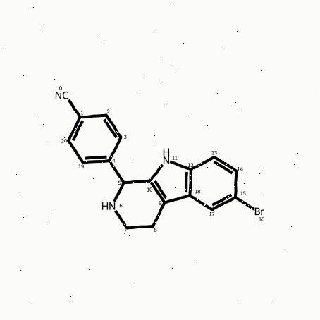 N#Cc1ccc(C2NCCc3c2[nH]c2ccc(Br)cc32)cc1